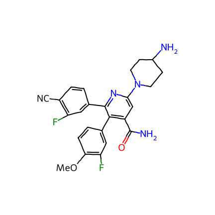 COc1ccc(-c2c(C(N)=O)cc(N3CCC(N)CC3)nc2-c2ccc(C#N)c(F)c2)cc1F